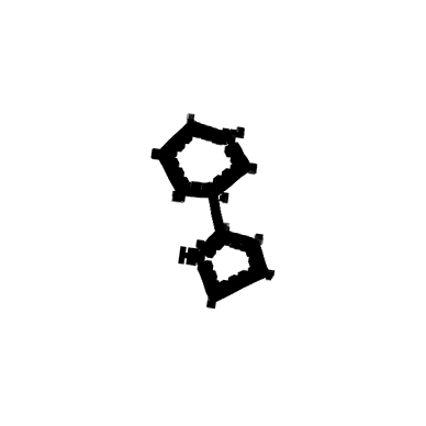 c1cncc(-c2ccc[nH]2)c1